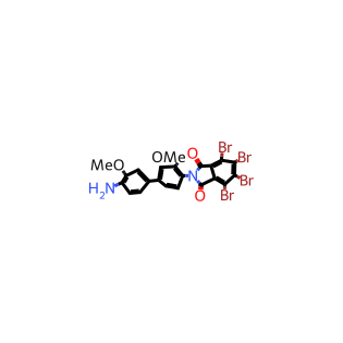 COc1cc(-c2ccc(N3C(=O)c4c(Br)c(Br)c(Br)c(Br)c4C3=O)c(OC)c2)ccc1N